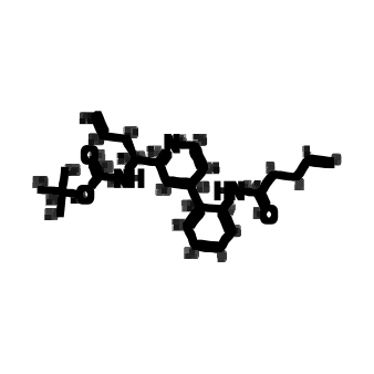 C=CCCC(=O)Nc1ccccc1-c1ccnc([C@H](CC=C)NC(=O)OC(C)(C)C)c1